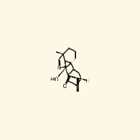 C=C1C(=O)C23CC[C@H]1CC2[C@@]12CCC[C@@](C)(C=NC1)C2C[C@H]3O